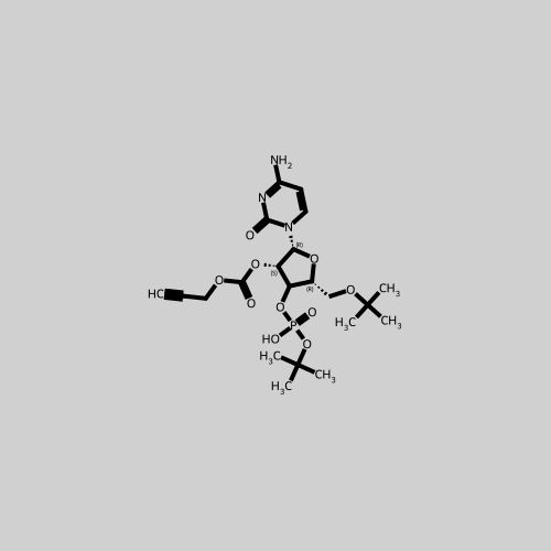 C#CCOC(=O)O[C@H]1C(OP(=O)(O)OC(C)(C)C)[C@@H](COC(C)(C)C)O[C@H]1n1ccc(N)nc1=O